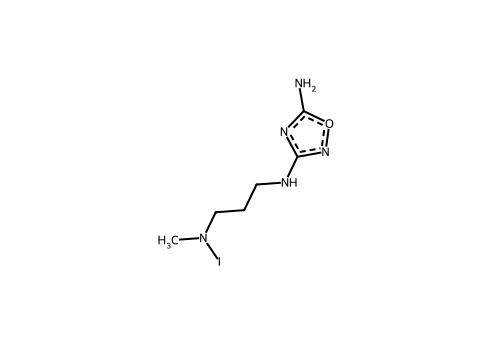 CN(I)CCCNc1noc(N)n1